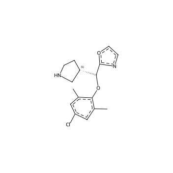 Cc1cc(Cl)cc(C)c1OC(c1ncco1)[C@H]1CCNC1